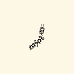 O=C(NCC1CCC2(CCNCC2)O1)c1ccc(NC(=O)N2Cc3ccncc3C2)cc1